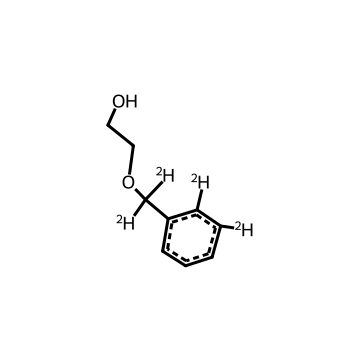 [2H]c1cccc(C([2H])([2H])OCCO)c1[2H]